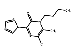 CCCCn1c(C)c(Cl)nc(-n2cccn2)c1=O